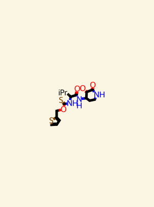 CC(C)C(NC(=S)OCc1cccs1)C(=O)NC1CCNC(=O)C1=O